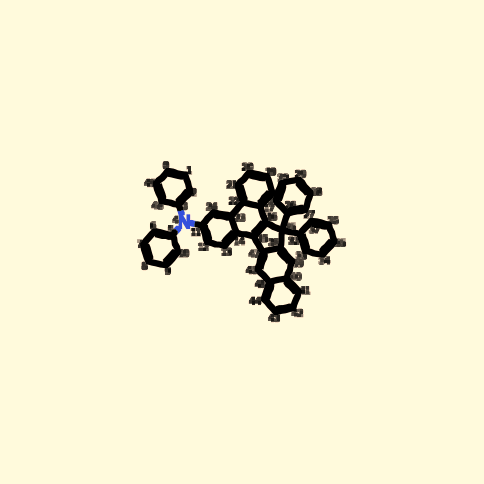 c1ccc(N(c2ccccc2)c2ccc3c4c(c5ccccc5c3c2)C(c2ccccc2)(c2ccccc2)c2cc3ccccc3cc2-4)cc1